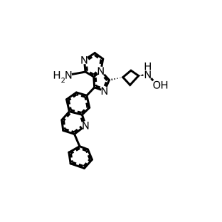 Nc1nccn2c1c(-c1ccc3ccc(-c4ccccc4)nc3c1)nc2[C@H]1C[C@@H](NO)C1